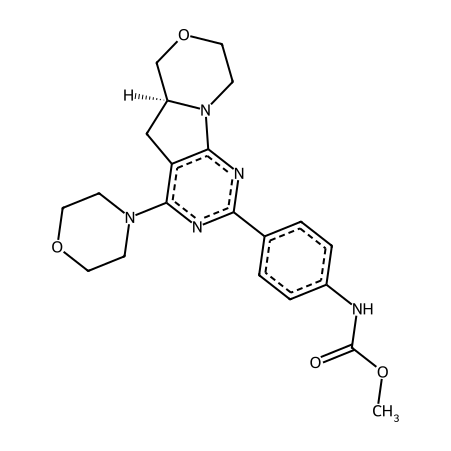 COC(=O)Nc1ccc(-c2nc(N3CCOCC3)c3c(n2)N2CCOC[C@@H]2C3)cc1